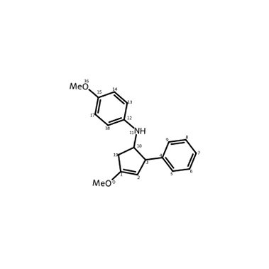 COC1=CC(c2ccccc2)C(Nc2ccc(OC)cc2)C1